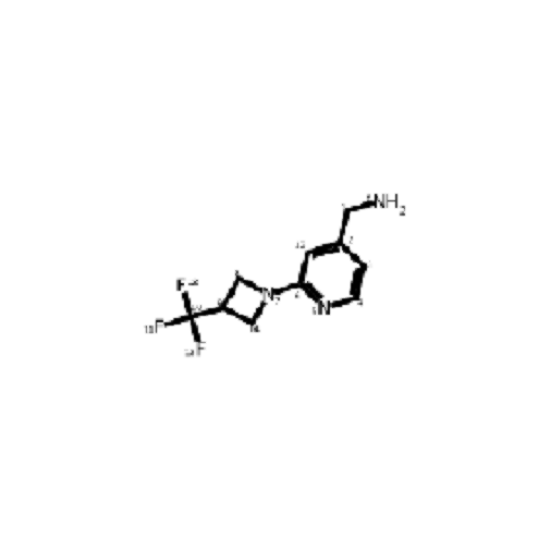 NCc1ccnc(N2CC(C(F)(F)F)C2)c1